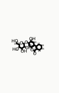 O=c1oc2cc(O[C@@H]3OC(CO)[C@H](O)C(O)C3O)c(O)cc2c2c1CCCC2